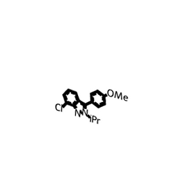 COc1ccc(-c2c3cccc(Cl)c3nn2C(C)C)cc1